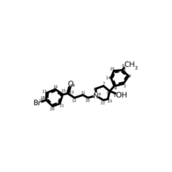 Cc1ccc(C2(O)CCN(CCCC(=O)c3ccc(Br)cc3)CC2)cc1